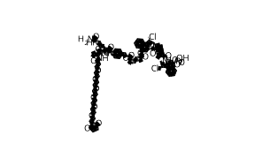 CC(C)[C@H](NC(=O)CCOCCOCCOCCOCCOCCOCCN1C(=O)C=CC1=O)C(=O)N[C@@H](CCCNC(N)=O)C(=O)Nc1ccc(COC(=O)N(C)CCN(C)C(=O)Oc2cc3c(c4ccccc24)[C@H](CCl)CN3C(=O)[C@@]23CC4C2C2C3C(C)C42C(=O)N2C[C@@H](CCl)c3c2cc(OP(=O)(O)O)c2ccccc32)cc1